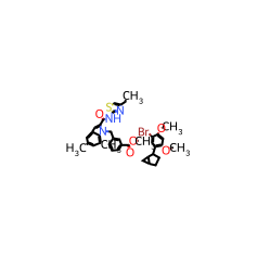 CCc1csc(NC(=O)c2cc3cc(C)cc(C)c3n2Cc2cccc(C(=O)OC)c2)n1.COc1cc(OC)c(C2CCC3CC32)cc1Br